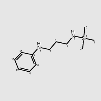 C[Si](C)(C)NCCCNc1ccccc1